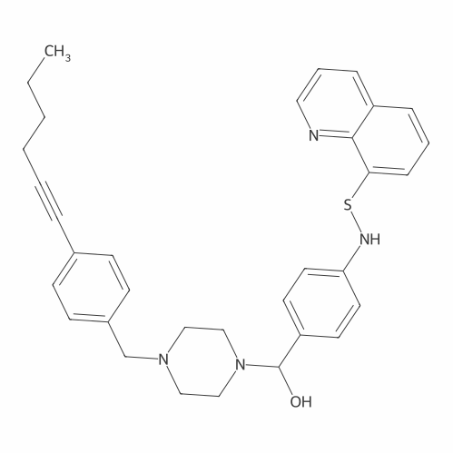 CCCCC#Cc1ccc(CN2CCN(C(O)c3ccc(NSc4cccc5cccnc45)cc3)CC2)cc1